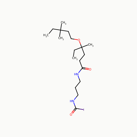 CCC(C)(C)CCOC(C)(CC)CCC(=O)NCCCNC(=O)I